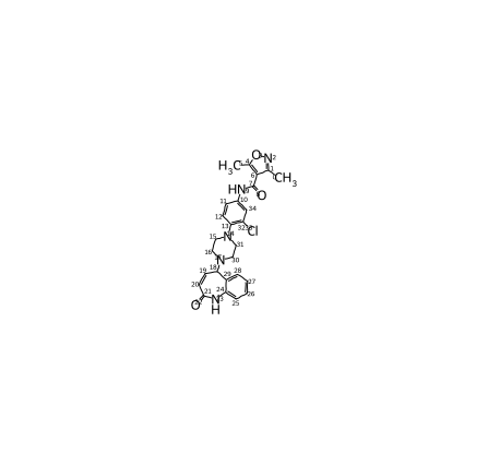 Cc1noc(C)c1C(=O)Nc1ccc(N2CCN(C3C=CC(=O)Nc4ccccc43)CC2)c(Cl)c1